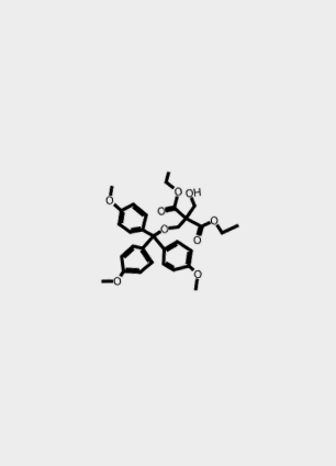 CCOC(=O)C(CO)(COC(c1ccc(OC)cc1)(c1ccc(OC)cc1)c1ccc(OC)cc1)C(=O)OCC